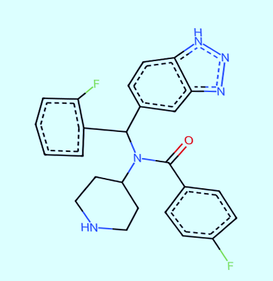 O=C(c1ccc(F)cc1)N(C1CCNCC1)C(c1ccc2[nH]nnc2c1)c1ccccc1F